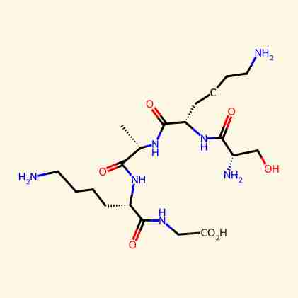 C[C@H](NC(=O)[C@H](CCCCN)NC(=O)[C@@H](N)CO)C(=O)N[C@@H](CCCCN)C(=O)NCC(=O)O